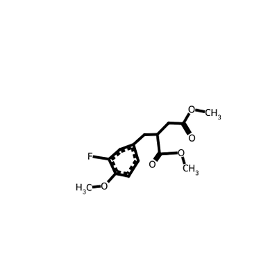 COC(=O)CC(Cc1ccc(OC)c(F)c1)C(=O)OC